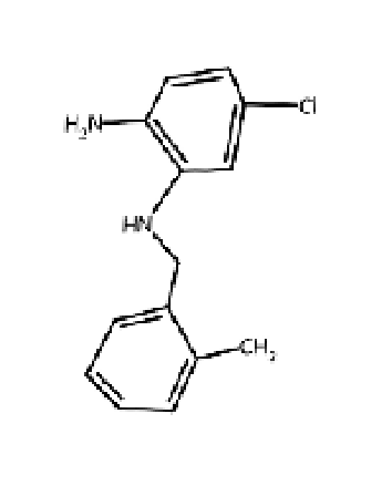 Cc1ccccc1CNc1cc(Cl)ccc1N